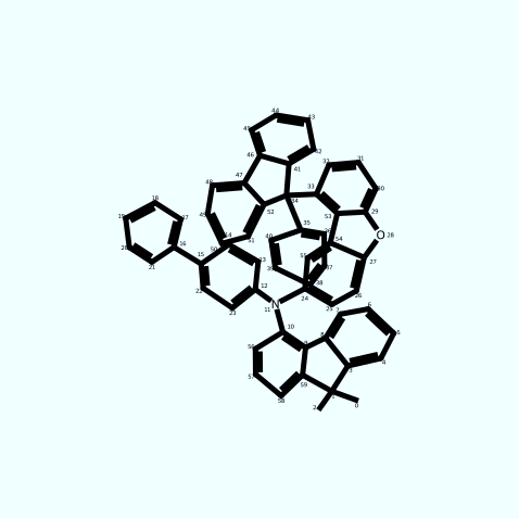 CC1(C)c2ccccc2-c2c(N(c3ccc(-c4ccccc4)cc3)c3ccc4oc5cccc(C6(c7ccccc7)c7ccccc7-c7ccccc76)c5c4c3)cccc21